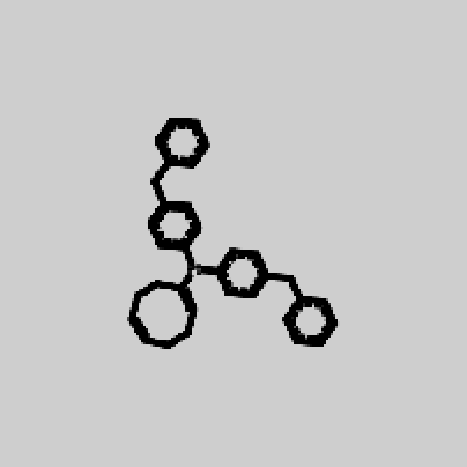 C1=CCC[C]([Pt]([c]2ccc(Cc3ccccc3)cc2)[c]2ccc(Cc3ccccc3)cc2)=CCC1